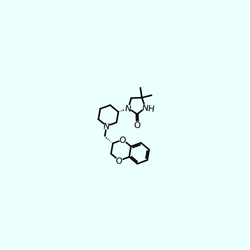 CC1(C)CN([C@H]2CCCN(C[C@H]3COc4ccccc4O3)C2)C(=O)N1